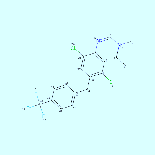 CCN(C)/C=N\c1cc(Cl)c(Cc2ccc(C(F)(F)F)cc2)cc1Cl